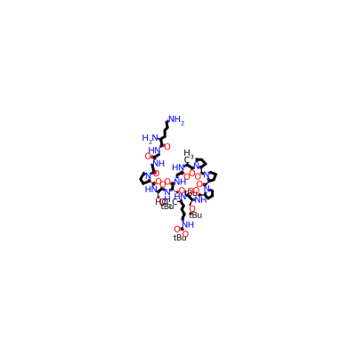 C[C@H](NC(=O)CNC(=O)[C@H](COC(C)(C)C)NC(=O)[C@H](COC(C)(C)C)NC(=O)[C@@H]1CCCN1C(=O)CNC(=O)CNC(=O)[C@@H](N)CCCCN)C(=O)N1CCC[C@H]1C(=O)N1CCC[C@H]1C(=O)N1CCC[C@H]1C(=O)N[C@@H](COC(C)(C)C)C(=O)N[C@@H](CCCCNC(=O)OC(C)(C)C)C(=O)O